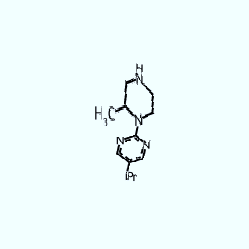 CC(C)c1cnc(N2CCNCC2C)nc1